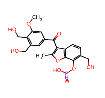 COc1cc(C(=O)c2c(C)oc3c(O[PH](=O)O)c(CO)ccc23)cc(CO)c1CO